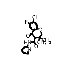 CC1(C)COc2cc(Cl)c(F)cc2C(=O)C1C(=O)Nc1ccccn1